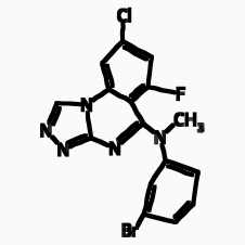 CN(c1cccc(Br)c1)c1nc2nncn2c2cc(Cl)cc(F)c12